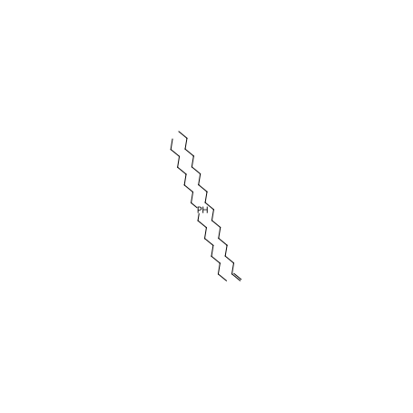 C=CCCCCCCCCCCCCCCCC.CCCCCCCCPCCCCCCCC